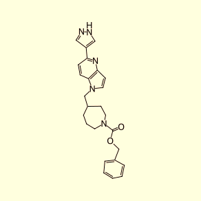 O=C(OCc1ccccc1)N1CCCC(Cn2ccc3nc(-c4cn[nH]c4)ccc32)CC1